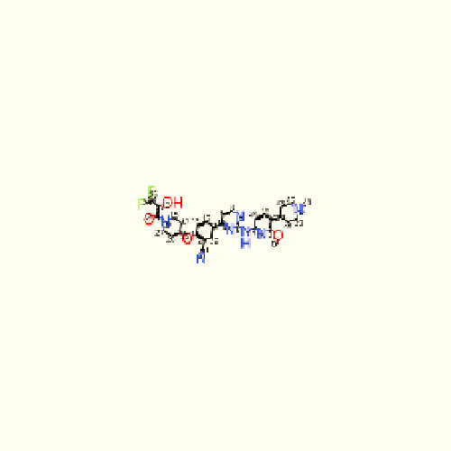 COc1nc(Nc2nccc(-c3ccc(OC4CCN(C(=O)[C@H](O)C(F)F)CC4)c(C#N)c3)n2)ccc1C1CCN(C)CC1